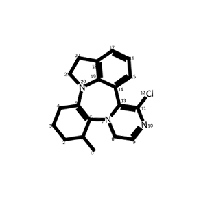 CC1CCCC2=C1N1CC=NC(Cl)=C1c1cccc3c1N2CC3